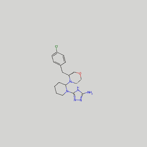 Nc1nnc(N2CCCCC2N2CCOCC2Cc2ccc(Cl)cc2)[nH]1